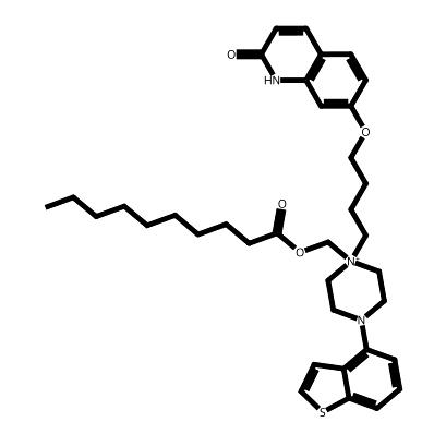 CCCCCCCCCC(=O)OC[N+]1(CCCCOc2ccc3ccc(=O)[nH]c3c2)CCN(c2cccc3sccc23)CC1